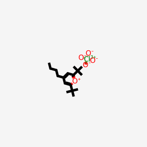 CCCCc1cc(C(C)(C)C)[o+]c(C(C)(C)C)c1.[O-][Cl+3]([O-])([O-])[O-]